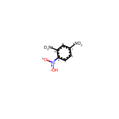 O=[N+]([O-])c1ccc([NH+]([O-])O)c([N+](=O)[O-])c1